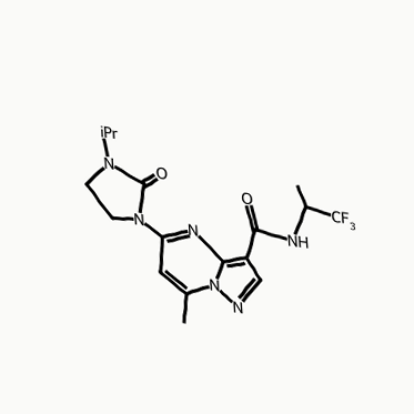 Cc1cc(N2CCN(C(C)C)C2=O)nc2c(C(=O)NC(C)C(F)(F)F)cnn12